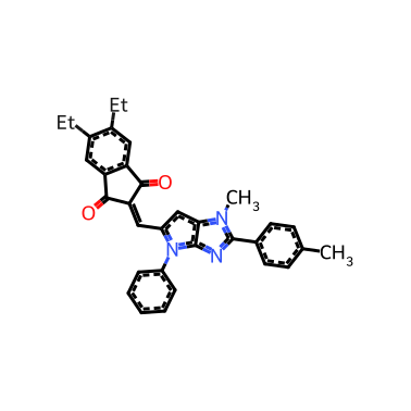 CCc1cc2c(cc1CC)C(=O)C(=Cc1cc3c(nc(-c4ccc(C)cc4)n3C)n1-c1ccccc1)C2=O